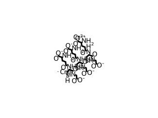 NC(CCC(=O)NC(CS)C(=O)NCC(=O)[O-])C(=O)[O-].NC(CCC(=O)NC(CS)C(=O)NCC(=O)[O-])C(=O)[O-].NC(CCC(=O)NC(CS)C(=O)NCC(=O)[O-])C(=O)[O-].[Cr+3].[Cr+3]